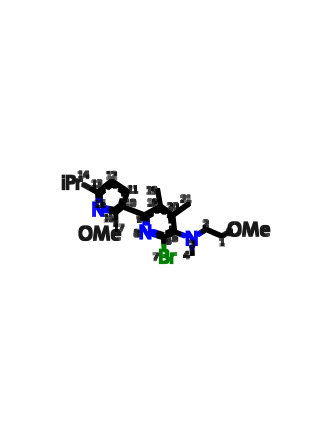 COCCN(C)c1c(Br)nc(-c2ccc(C(C)C)nc2OC)c(C)c1C